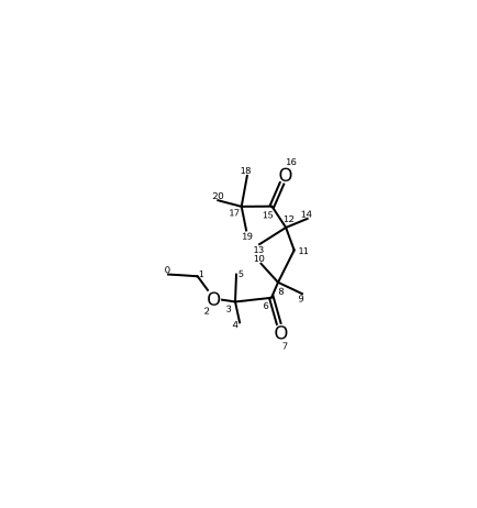 CCOC(C)(C)C(=O)C(C)(C)CC(C)(C)C(=O)C(C)(C)C